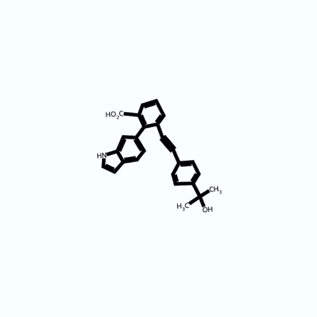 CC(C)(O)c1ccc(C#Cc2cccc(C(=O)O)c2-c2ccc3cc[nH]c3c2)cc1